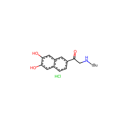 CC(C)(C)NCC(=O)c1ccc2cc(O)c(O)cc2c1.Cl